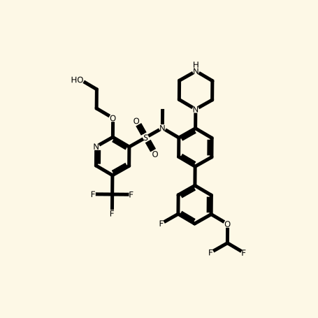 CN(c1cc(-c2cc(F)cc(OC(F)F)c2)ccc1N1CCNCC1)S(=O)(=O)c1cc(C(F)(F)F)cnc1OCCO